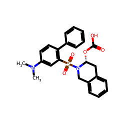 CN(C)c1ccc(-c2ccccc2)c(S(=O)(=O)N2Cc3ccccc3C[C@H]2OC(=O)O)c1